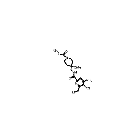 CCOc1nc(C(=O)NCC2(OC)CCN(C(=O)OC(C)(C)C)CC2)cc(N)c1C#N